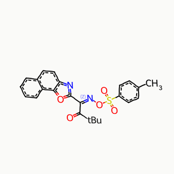 Cc1ccc(S(=O)(=O)O/N=C(\C(=O)C(C)(C)C)c2nc3ccc4ccccc4c3o2)cc1